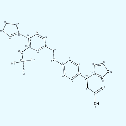 O=C(O)C[C@@H](c1ccc(OCc2ccc(C3=CCCC3)c(OC(F)(F)F)c2)cc1)c1ccon1